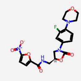 O=C(NC[C@H]1CN(c2ccc(N3CCOCC3)c(F)c2)C(=O)O1)c1ccc([N+](=O)[O-])o1